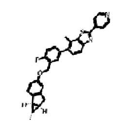 Cc1c(-c2ccc(F)c(COc3ccc4c(c3)C[C@H]3[C@H](C)[C@@H]43)c2)ccc2nc(-c3ccncc3)sc12